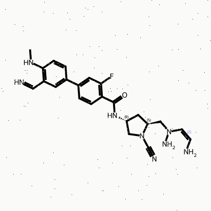 CNc1ccc(-c2ccc(C(=O)N[C@@H]3C[C@@H](CN(N)/C=C\N)N(C#N)C3)c(F)c2)cc1C=N